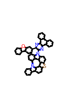 c1ccc2c(c1)oc1cc(-c3nc4c5ccccc5c5ccccc5c4nc3-n3c4ccc5sc6ccc7c8ccccc8n8c9cccc3c9c4c5c6c78)ccc12